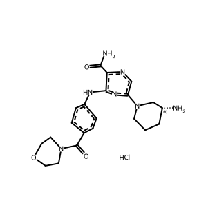 Cl.NC(=O)c1ncc(N2CCC[C@@H](N)C2)nc1Nc1ccc(C(=O)N2CCOCC2)cc1